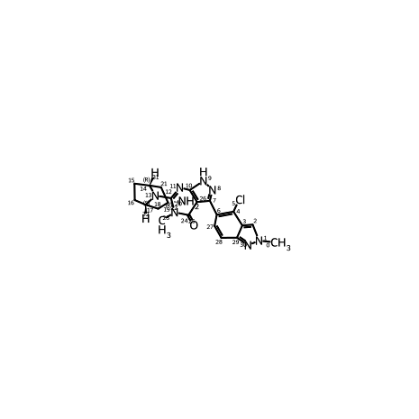 Cn1cc2c(Cl)c(-c3n[nH]c4nc(N5[C@@H]6CC[C@H]5C[C@@H](N)C6)n(C)c(=O)c34)ccc2n1